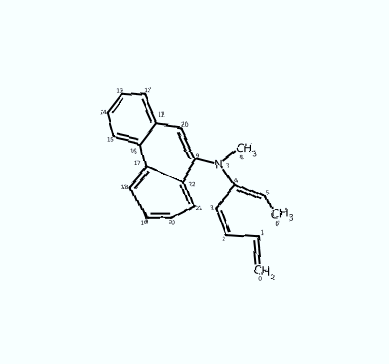 C=C/C=C\C(=C/C)N(C)c1cc2ccccc2c2ccccc12